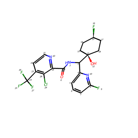 O=C(NC(c1cccc(F)n1)[C@]1(O)CC[C@@H](F)CC1)c1nccc(C(F)(F)F)c1Cl